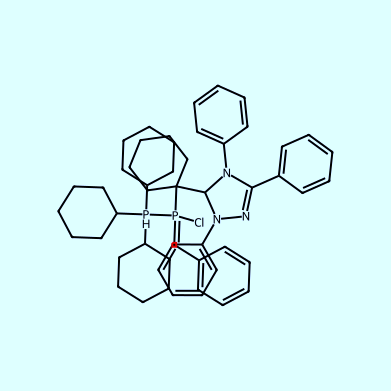 ClP(=Cc1ccccc1)(C1(C2N(c3ccccc3)N=C(c3ccccc3)N2c2ccccc2)CCCCC1)[PH](C1CCCCC1)(C1CCCCC1)C1CCCCC1